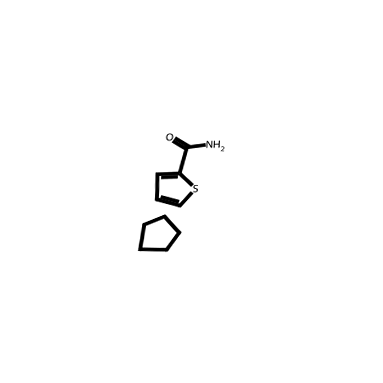 C1CCCC1.NC(=O)c1cccs1